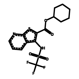 O=C(OC1CCCCC1)c1sc2ncccc2c1NS(=O)(=O)C(F)(F)F